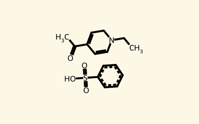 CCN1C=CC(C(C)=O)=CC1.O=S(=O)(O)c1ccccc1